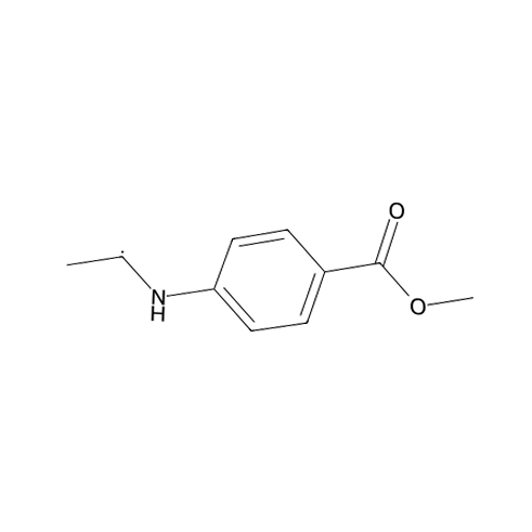 C[CH]Nc1ccc(C(=O)OC)cc1